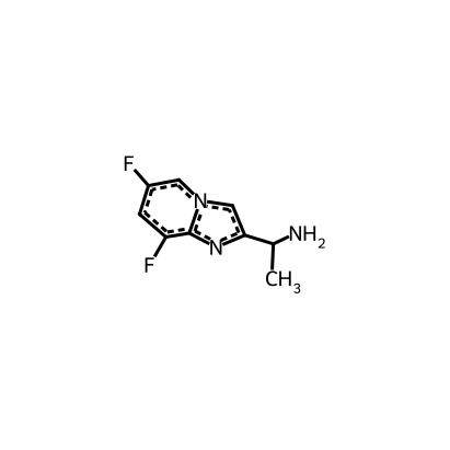 CC(N)c1cn2cc(F)cc(F)c2n1